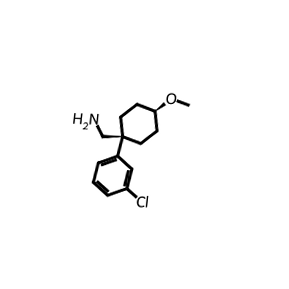 CO[C@H]1CC[C@](CN)(c2cccc(Cl)c2)CC1